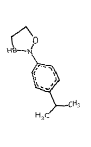 CC(C)c1ccc(N2BCCO2)cc1